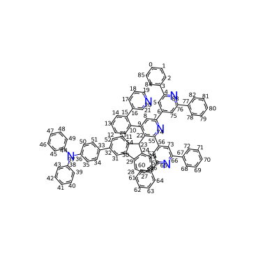 c1ccc(-c2cc(-c3cc(-c4ccccc4-c4cccnc4)c(C4c5ccccc5-c5cc(-c6ccc(N(c7ccccc7)c7ccccc7)cc6)ccc54)c(-c4cc(-c5ccccc5)nc(-c5ccccc5)c4)n3)cc(-c3ccccc3)n2)cc1